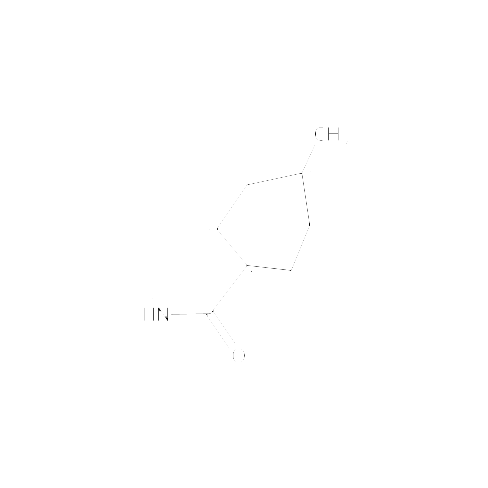 CC1CCC(C([NH])=O)CC1